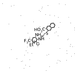 CCn1c(C(F)(F)F)cc(N)c(NCCCSc2cc3ccccc3cc2C(=O)O)c1=O